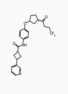 O=C(CCC(F)(F)F)N1CCC(Oc2ccc(NC(=O)N3CC(c4cccnc4)C3)cc2)C1